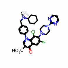 CN(Cc1ccc(-n2cc(C(=O)O)c(=O)c3cc(F)c(N4CCN(c5ncccn5)CC4)c(Cl)c32)cc1)C1CCCCC1